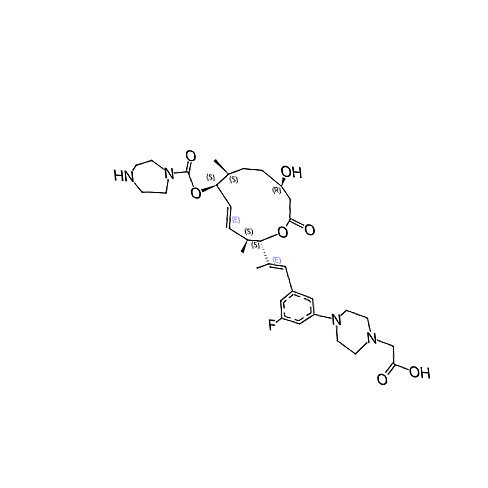 C/C(=C\c1cc(F)cc(N2CCN(CC(=O)O)CC2)c1)[C@H]1OC(=O)C[C@H](O)CC[C@H](C)[C@H](OC(=O)N2CCNCC2)/C=C/[C@@H]1C